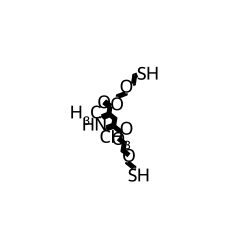 CC1=C(C(=O)OCCOCCS)CC(C(=O)OCCOCCS)=C(C)N1